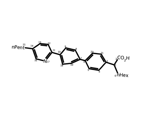 CCCCCCC(C(=O)O)c1ccc(-c2ccc(-c3ccc(CCCCC)cn3)cc2)cc1